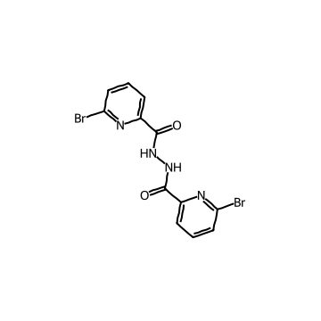 O=C(NNC(=O)c1cccc(Br)n1)c1cccc(Br)n1